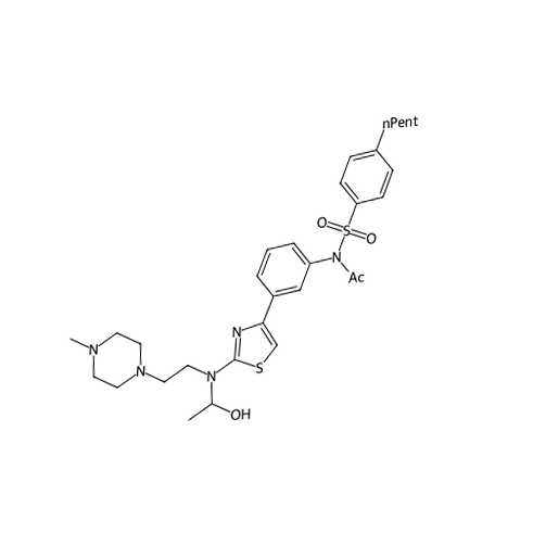 CCCCCc1ccc(S(=O)(=O)N(C(C)=O)c2cccc(-c3csc(N(CCN4CCN(C)CC4)C(C)O)n3)c2)cc1